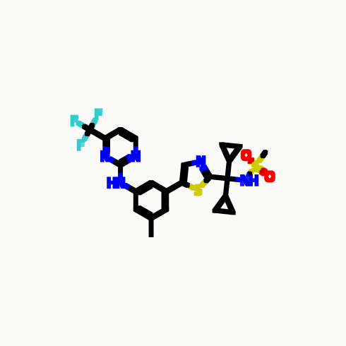 Cc1cc(Nc2nccc(C(F)(F)F)n2)cc(-c2cnc(C(NS(C)(=O)=O)(C3CC3)C3CC3)s2)c1